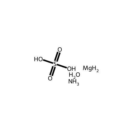 N.O.O=S(=O)(O)O.[MgH2]